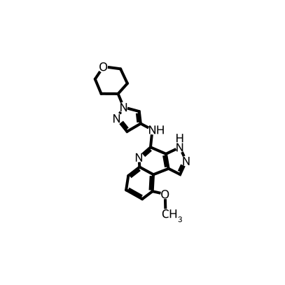 COc1cccc2nc(Nc3cnn(C4CCOCC4)c3)c3[nH]ncc3c12